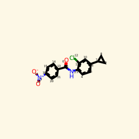 O=C(Nc1ccc(C2CC2)cc1Cl)c1ccc([N+](=O)[O-])cc1